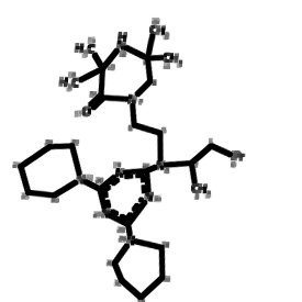 CC(C)CC(C)N(CCN1CC(C)(C)NC(C)(C)C1=O)c1nc(N2CCCCC2)nc(N2CCCCC2)n1